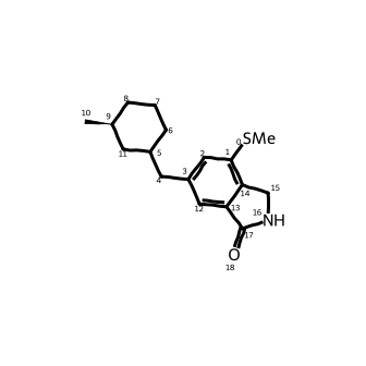 CSc1cc(CC2CCC[C@H](C)C2)cc2c1CNC2=O